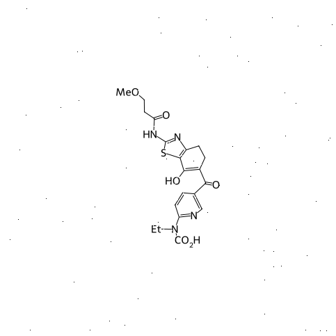 CCN(C(=O)O)c1ccc(C(=O)C2=C(O)c3sc(NC(=O)CCOC)nc3CC2)cn1